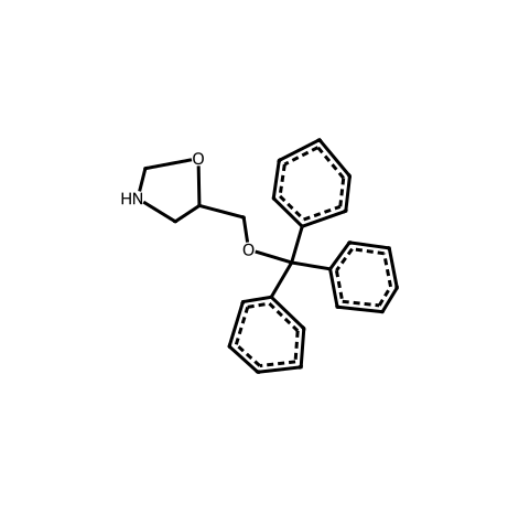 c1ccc(C(OCC2CNCO2)(c2ccccc2)c2ccccc2)cc1